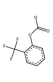 [O]C(=O)Oc1ccccc1C(F)(F)F